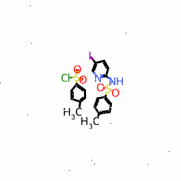 Cc1ccc(S(=O)(=O)Cl)cc1.Cc1ccc(S(=O)(=O)Nc2ccc(I)cn2)cc1